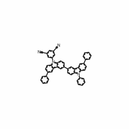 N#Cc1cc(C#N)cc(-n2c3ccc(-c4ccccc4)cc3c3cc(-c4ccc5c(c4)c4cc(-c6ccccc6)ccc4n5-c4ccccc4)ccc32)c1